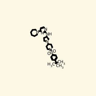 CC(C)(C)c1ccc(S(=O)(=O)N2CCC(N3CCC(Nc4nccc(N5CCCCCC5)n4)C3)CC2)cc1